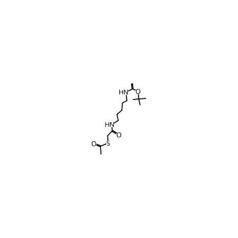 C=C(NCCCCCNC(=O)CSC(C)=O)OC(C)(C)C